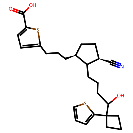 N#C[C@@H]1CC[C@H](CCCc2ccc(C(=O)O)s2)C1CCCC(O)C1(c2cccs2)CCC1